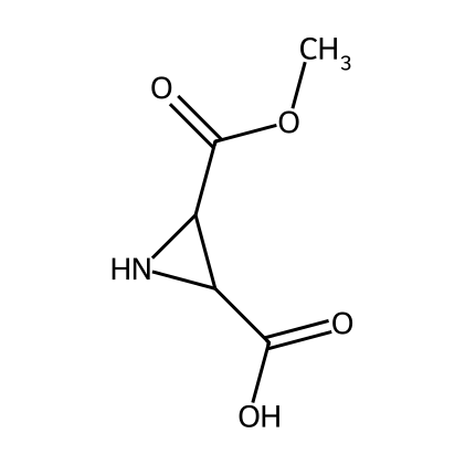 COC(=O)C1NC1C(=O)O